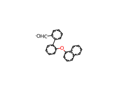 O=[C]c1ccccc1-c1ccccc1Oc1cccc2ccccc12